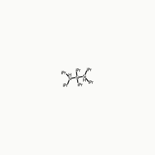 CC(C)[SiH](C(C)C)[Si](C(C)C)(C(C)C)[SiH](C(C)C)C(C)C